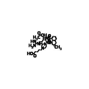 CC(=O)O.C[C@@H]1CNc2c(cccc2S(=O)(=O)NC(CCCNC(=N)N)C(=O)N2CCN(CCCCC(=O)O)CC2)C1